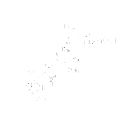 Cc1cn2c(n1)[C@H](c1cc(C(=O)c3cncnc3N[C@H]3C[C@H](O)[C@@H]([CH]NS(=O)(=O)O)C3)sc1C)OCC2